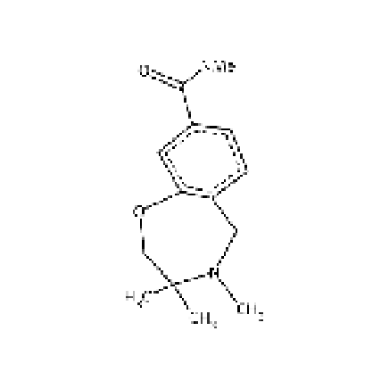 CNC(=O)c1ccc2c(c1)OCC(C)(C)N(C)C2